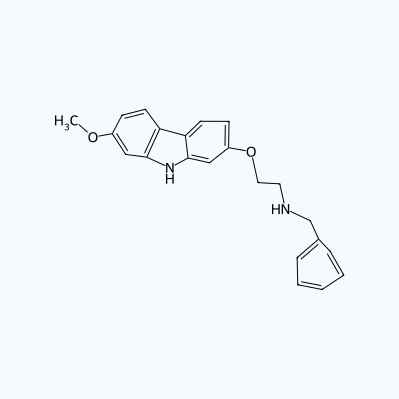 COc1ccc2c(c1)[nH]c1cc(OCCNCc3ccccc3)ccc12